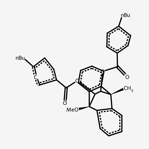 CCCCc1ccc(C(=O)OC2C(OC(=O)c3ccc(CCCC)cc3)[C@]3(OC)c4ccccc4[C@@]2(C)c2ccccc23)cc1